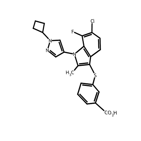 Cc1c(Sc2cccc(C(=O)O)c2)c2ccc(Cl)c(F)c2n1-c1cnn(C2CCC2)c1